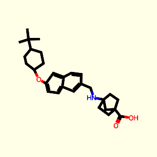 CC(C)(C)C1CCC(Oc2ccc3cc(CNC45CCC(C(=O)O)(CC4)C5)ccc3c2)CC1